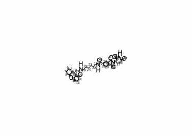 O=C(CN1c2ccccc2Oc2ccccc21)NCCCCCCNC(=O)c1ccc2c(c1)C(=O)N(C1CCC(=O)NC1=O)C2=O